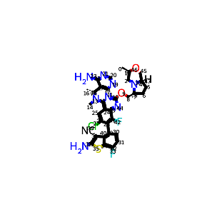 C[C@@H]1CN2[C@H](CC[C@H]2COc2nc(N(C)[C@H](C)c3cncnc3N)c3cc(Cl)c(-c4ccc(F)c5sc(N)c(C#N)c45)c(F)c3n2)CO1